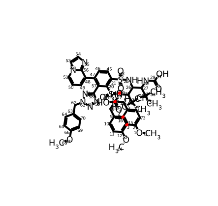 COc1ccc(CN(Cc2ccc(OC)cc2)S(=O)(=O)c2c(S(=O)(=O)NC(C(NC(=O)O)C(C)(C)C)C(NC(=O)O)C(C)(C)C)ccc(-c3cccn4ccnc34)c2-c2nnn(Cc3ccc(OC)cc3)n2)cc1